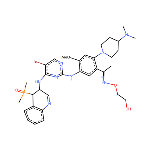 COc1cc(N2CCC(N(C)C)CC2)c(/C(C)=N/OCCO)cc1Nc1ncc(Br)c(NC2C=Nc3ccccc3C2P(C)(C)=O)n1